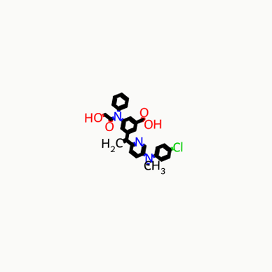 C=C(c1cc(C(=O)O)cc(N(C(=O)CO)c2ccccc2)c1)c1ccc(N(C)c2ccc(Cl)cc2)cn1